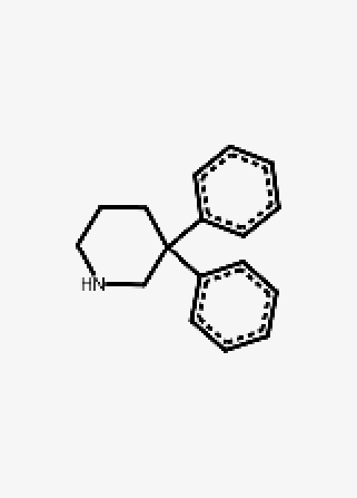 c1ccc(C2(c3ccccc3)CCCNC2)cc1